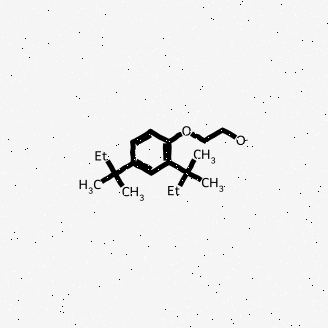 CCC(C)(C)c1ccc(OCC[O])c(C(C)(C)CC)c1